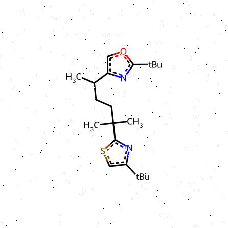 CC(CCC(C)(C)c1nc(C(C)(C)C)cs1)c1coc(C(C)(C)C)n1